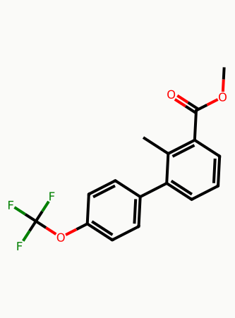 COC(=O)c1cccc(-c2ccc(OC(F)(F)F)cc2)c1C